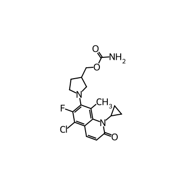 Cc1c(N2CCC(COC(N)=O)C2)c(F)c(Cl)c2ccc(=O)n(C3CC3)c12